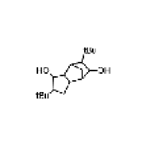 CC(C)(C)C1CC2C3CC(C2C1O)C(C(C)(C)C)C3O